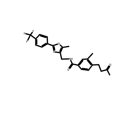 CC(=O)CCc1ccc(C(=O)NCc2nc(-c3ccc(C(F)(F)F)cc3)oc2C)cc1C